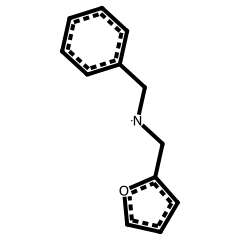 c1ccc(C[N]Cc2ccco2)cc1